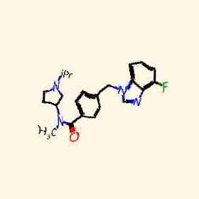 CC(C)N1CCC(N(C)C(=O)c2ccc(Cn3cnc4c(F)cccc43)cc2)C1